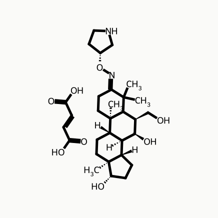 CC1(C)/C(=N/O[C@@H]2CCNC2)CC[C@@]2(C)C1[C@@H](CO)[C@@H](O)[C@H]1[C@@H]3CC[C@H](O)[C@@]3(C)CC[C@@H]12.O=C(O)/C=C/C(=O)O